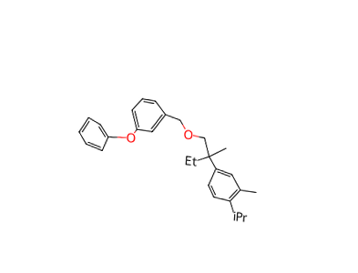 CCC(C)(COCc1cccc(Oc2ccccc2)c1)c1ccc(C(C)C)c(C)c1